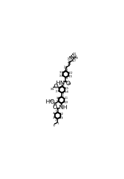 CCc1ccc(C(=O)Nc2ccc(-c3ccc(NC(=O)c4ccc(CCCC[N+](C)(C)C)cc4)c(OC)c3)cc2CO)cc1